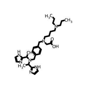 CCCN(CCC)CCCCN(CC(=O)O)Cc1ccc(CN(C(C)c2ncc[nH]2)C(C)c2ncc[nH]2)cc1